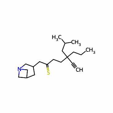 C#CC(CCC)(CCC(=S)CC1CC2CN(C1)C2)CC(C)C